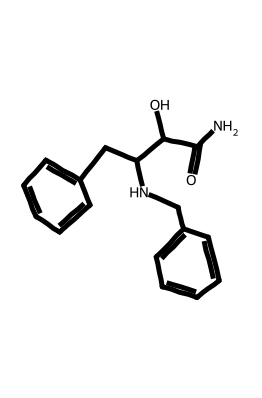 NC(=O)C(O)C(Cc1ccccc1)NCc1ccccc1